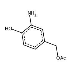 CC(=O)OCc1ccc(O)c(N)c1